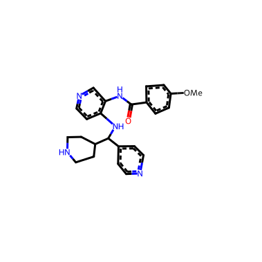 COc1ccc(C(=O)Nc2cnccc2NC(c2ccncc2)C2CCNCC2)cc1